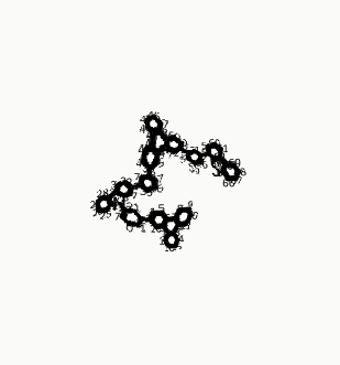 C1=CC(c2ccc3c4ccccc4c4ccccc4c3c2)CC(n2c3ccccc3c3ccc(-c4cccc(-c5ccc6c7ccccc7c7ccc(-c8cccc(-c9cccc%10c9sc9ccccc9%10)c8)cc7c6c5)c4)cc32)=C1